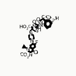 O=C(O)C1=C(CN2CCN(c3cc4c(cc3F)c(=O)c(C(=O)O)cn4C3CC3)CC2)CS[C@H]2[C@@H](NC(=O)C(C(=O)O)c3ccccc3)C(=O)N12